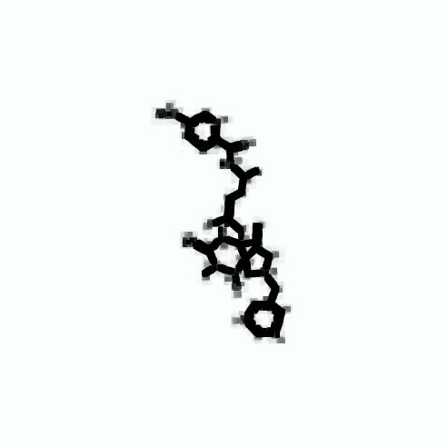 C=C[C@]1(C/C(F)=C\CC(C)NC(=O)c2ccc(OC)cn2)NC(=N)N(C)[S+]([O-])[C@]12CCN(Cc1cncnc1)C2